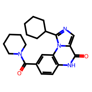 O=C(c1ccc2[nH]c(=O)c3cnc(C4CCCCC4)n3c2c1)N1CCCCC1